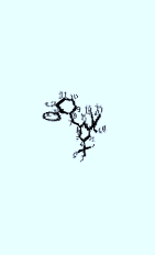 CC(C)(C)c1cc(CC2CCCCC2=O)cc(C(C)(C)C)c1